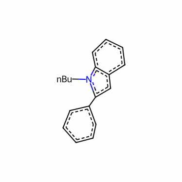 CCCCn1c(-c2ccccc2)cc2ccccc21